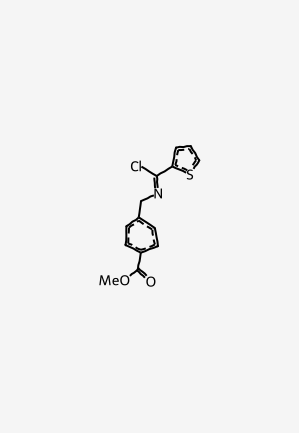 COC(=O)c1ccc(C/N=C(\Cl)c2cccs2)cc1